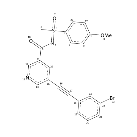 COc1ccc(S(C)(=O)=NC(=O)c2cncc(C#Cc3cccc(Br)c3)c2)cc1